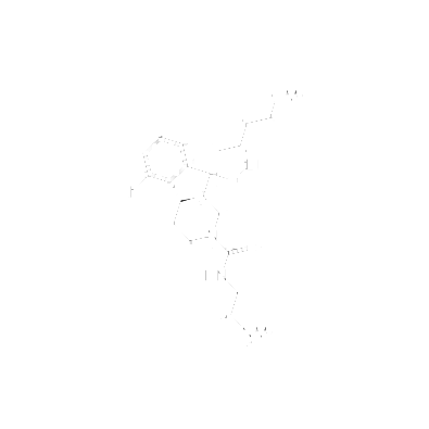 CCO[C@](CCCCOC)(c1cccc(Cl)c1)[C@@H]1CCCN(C(=O)NCCNC)C1